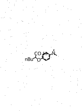 CCCCC(Oc1ccc(N(C)C)cc1)C(=O)O